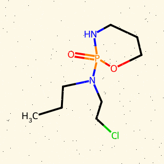 CCCN(CCCl)P1(=O)NCCCO1